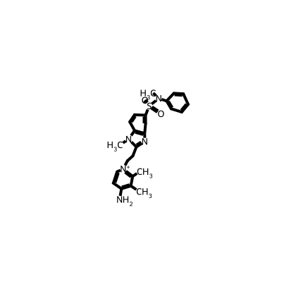 Cc1c(N)cc[n+](CCc2nc3cc(S(=O)(=O)N(C)c4ccccc4)ccc3n2C)c1C